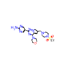 CCS(=O)(=O)N1CCN(Cc2cc3c(N4CCOCC4)nc(-c4cnc(N)nc4)nn3c2)CC1